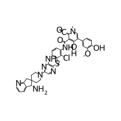 COc1cc(C2=CN(C)C(=C=O)C(C(=O)Nc3cccc(Sc4ncc(N5CCC6(CC5)Cc5ncccc5[C@H]6N)nc4N)c3Cl)=C2O)ccc1O